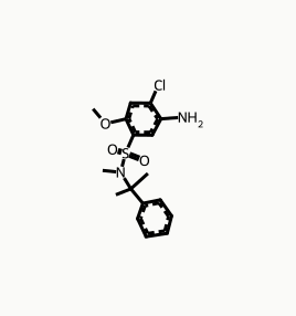 COc1cc(Cl)c(N)cc1S(=O)(=O)N(C)C(C)(C)c1ccccc1